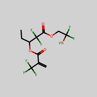 C=C(C(=O)OC(CC)C(F)(F)C(=O)OCC(F)(F)S)C(F)(F)F